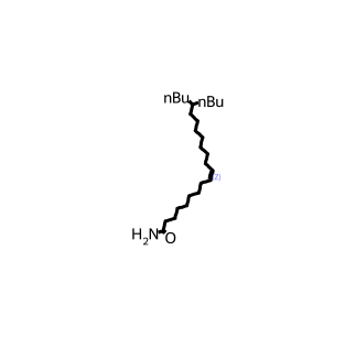 CCCCC(CCCC)CCCCCCC/C=C\CCCCCCCC(N)=O